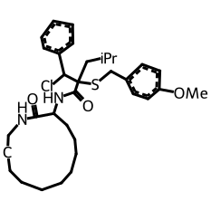 COc1ccc(CSC(CC(C)C)(C(=O)NC2CCCCCCCCCCNC2=O)C(Cl)c2ccccc2)cc1